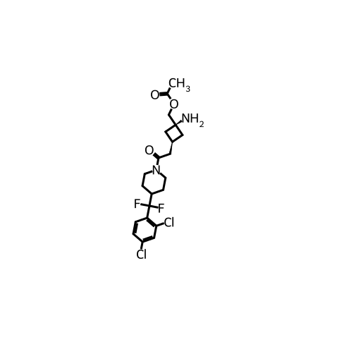 CC(=O)OC[C@]1(N)C[C@@H](CC(=O)N2CCC(C(F)(F)c3ccc(Cl)cc3Cl)CC2)C1